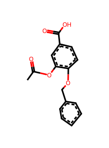 CC(=O)Oc1cc(C(=O)O)ccc1OCc1ccccc1